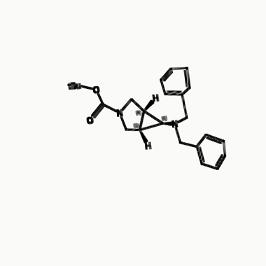 CC(C)(C)OC(=O)N1C[C@@H]2[C@H](C1)[C@H]2N(Cc1ccccc1)Cc1ccccc1